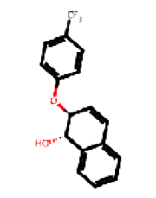 O[C@H]1c2ccccc2C=C[C@@H]1Oc1ccc(C(F)(F)F)cc1